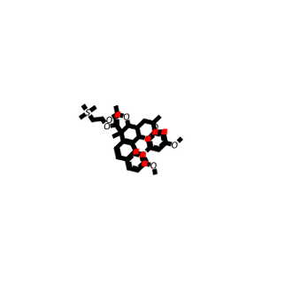 COc1ccc(/C=C\C2=C(C)C(OC(C)=O)C(CC(C)c3cc(OC)cc(OC)c3)C(OC(C)=O)C2(C)C(=O)OCCS(C)(C)C)cc1